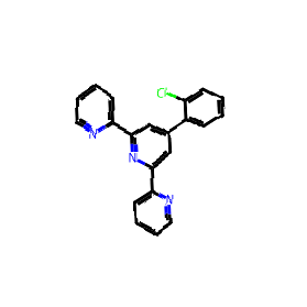 Clc1ccccc1-c1cc(-c2ccccn2)nc(-c2ccccn2)c1